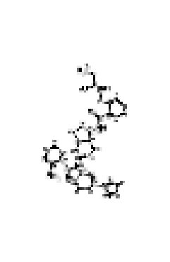 C=CC(=O)NCc1ccccc1C(=O)N[C@H]1CCc2cc(-n3c(-c4cccnc4N)nc4ccc(-n5cccn5)nc43)ccc21